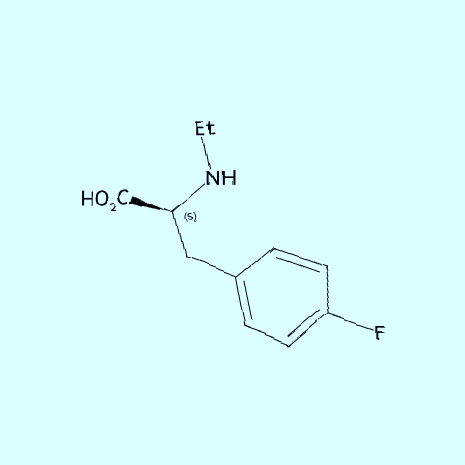 CCN[C@@H](Cc1ccc(F)cc1)C(=O)O